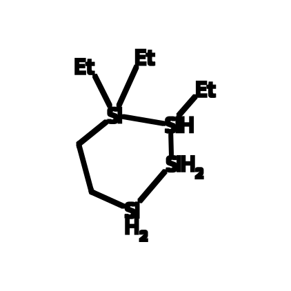 CC[SiH]1[SiH2][SiH2]CC[Si]1(CC)CC